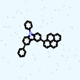 c1ccc(-c2ccc3c(c2)c2cc(-c4ccc5ccc6cccc7ccc4c5c67)ccc2n3-c2ccccc2)cc1